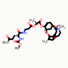 Cc1ccc2c3c1O[C@@H]1C[C@@](O)(CC=C1OC(=O)[C@H](C)OC(=O)CCNC(=O)[C@H](CCC(=O)OCC(C)C)NC(=O)OC(C)(C)C)[C@@H](C2)N(C)CCC3